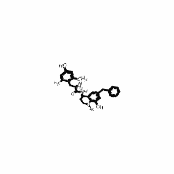 CC(=O)N1CCC(NC(=O)C(N)Cc2c(C)cc(O)cc2C)c2cc(Cc3ccccc3)cc(O)c21